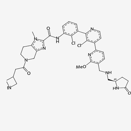 COc1nc(-c2ccnc(-c3cccc(NC(=O)c4nc5c(n4C)CCN(C(=O)CC4CNC4)C5)c3Cl)c2Cl)ccc1CNC[C@H]1CCC(=O)N1